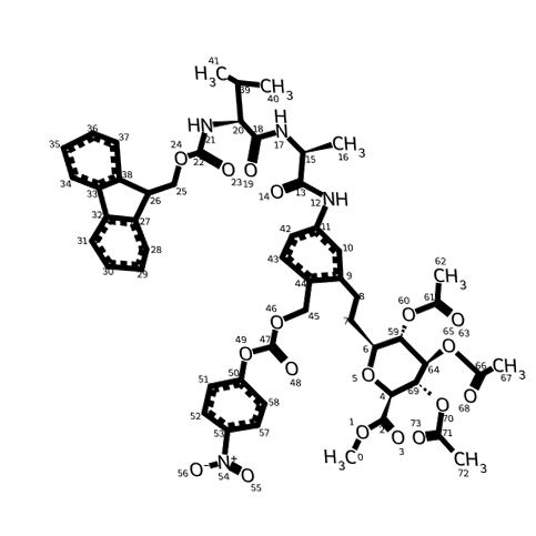 COC(=O)[C@H]1O[C@@H](CCc2cc(NC(=O)[C@H](C)NC(=O)[C@@H](NC(=O)OCC3c4ccccc4-c4ccccc43)C(C)C)ccc2COC(=O)Oc2ccc([N+](=O)[O-])cc2)[C@H](OC(C)=O)[C@@H](OC(C)=O)[C@@H]1OC(C)=O